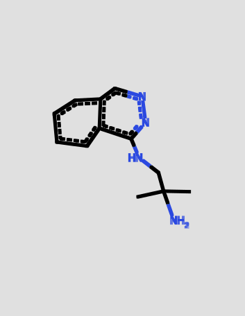 CC(C)(N)CNc1nncc2ccccc12